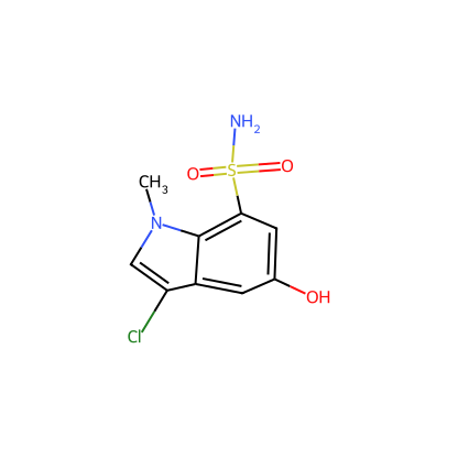 Cn1cc(Cl)c2cc(O)cc(S(N)(=O)=O)c21